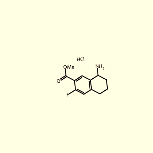 COC(=O)c1cc2c(cc1F)CCCC2N.Cl